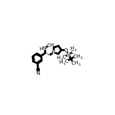 CN[C@H](CN1CCC(O[Si](C)(C)C(C)(C)C)C1)c1cccc(C#N)c1